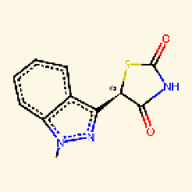 Cn1nc([C@H]2SC(=O)NC2=O)c2ccccc21